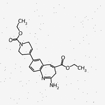 CCOC(=O)C1=Cc2cc(C3=CCN(C(=O)OCC)CC3)ccc2N=C(N)C1